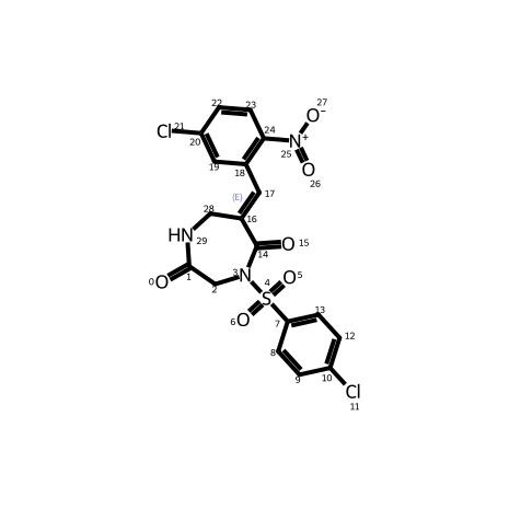 O=C1CN(S(=O)(=O)c2ccc(Cl)cc2)C(=O)/C(=C/c2cc(Cl)ccc2[N+](=O)[O-])CN1